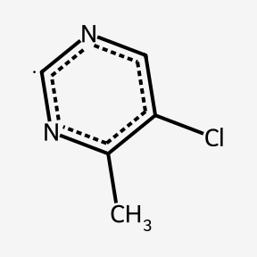 Cc1n[c]ncc1Cl